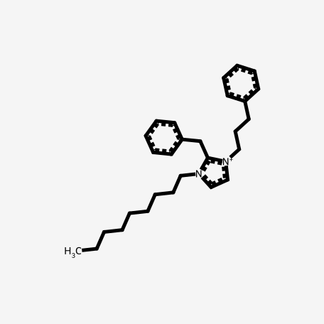 CCCCCCCCCn1cc[n+](CCCc2ccccc2)c1Cc1ccccc1